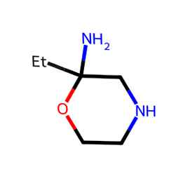 CCC1(N)CNCCO1